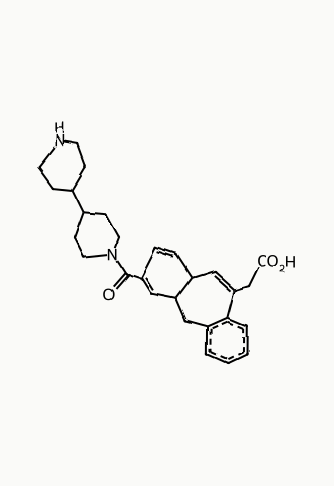 O=C(O)CC1=CC2C=CC(C(=O)N3CCC(C4CCNCC4)CC3)=CC2Cc2ccccc21